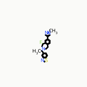 CC(c1ccc2scnc2c1)N1CCc2ccc(-c3cnn(C)c3)cc2C(F)C1